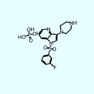 O=P(O)(O)O.O=S(=O)(c1cccc(F)c1)n1cc(N2CCNCC2)c2ncccc21